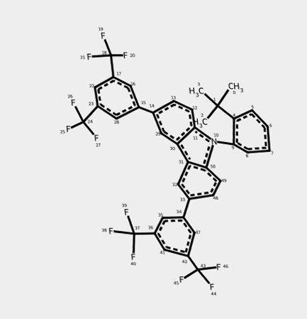 CC(C)(C)c1ccccc1-n1c2ccc(-c3cc(C(F)(F)F)cc(C(F)(F)F)c3)cc2c2cc(-c3cc(C(F)(F)F)cc(C(F)(F)F)c3)ccc21